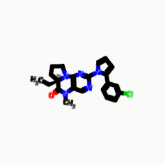 CC[C@@]12CCCN1c1nc(-n3cccc3-c3cccc(Cl)c3)ncc1N(C)C2=O